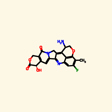 Cc1c(F)cc2nc3c(c4c2c1OCC4N)Cn1c-3cc2c(c1=O)COC(=O)[C@H]2O